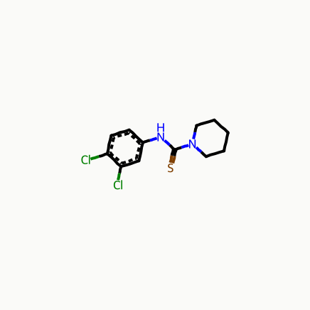 S=C(Nc1ccc(Cl)c(Cl)c1)N1CCCCC1